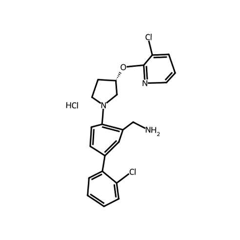 Cl.NCc1cc(-c2ccccc2Cl)ccc1N1CC[C@H](Oc2ncccc2Cl)C1